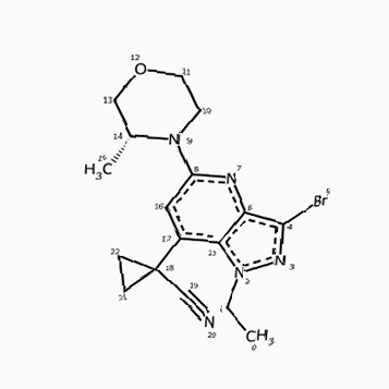 CCn1nc(Br)c2nc(N3CCOC[C@H]3C)cc(C3(C#N)CC3)c21